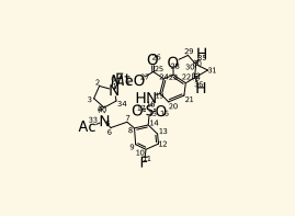 CCN1CC[C@@H](N(CCc2cc(F)ccc2S(=O)(=O)Nc2ccc3c(c2C(=O)OC)OC[C@@H]2C[C@H]32)C(C)=O)C1